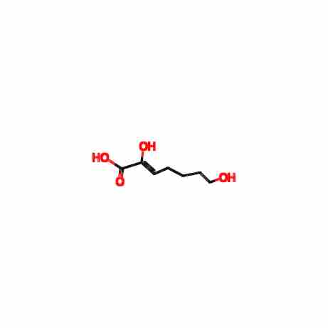 O=C(O)C(O)=CCCCCO